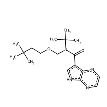 CC(C)(C)N(COCC[Si](C)(C)C)C(=O)c1c[nH]c2nccnc12